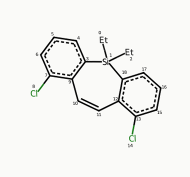 CC[Si]1(CC)c2cccc(Cl)c2C=Cc2c(Cl)cccc21